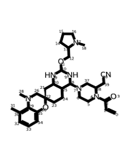 C=CC(=O)N1CCN(C2NC(OCC3CCCN3C)NC3C[C@]4(CCC32)CN(C)c2c(C)cccc2O4)CC1CC#N